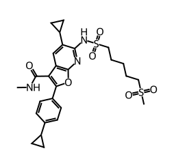 CNC(=O)c1c(-c2ccc(C3CC3)cc2)oc2nc(NS(=O)(=O)CCCCCS(C)(=O)=O)c(C3CC3)cc12